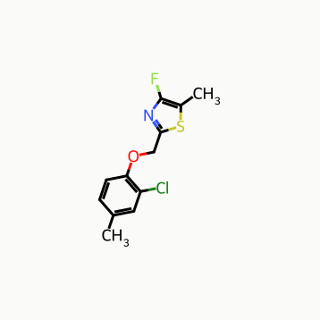 Cc1ccc(OCc2nc(F)c(C)s2)c(Cl)c1